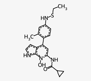 CCSNc1ccc(-c2cc(NC(=O)C3CC3)[n+](O)c3[nH]ccc23)c(C)c1